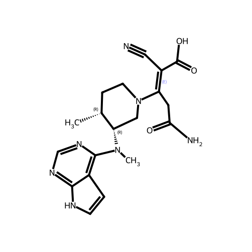 C[C@@H]1CCN(/C(CC(N)=O)=C(\C#N)C(=O)O)C[C@@H]1N(C)c1ncnc2[nH]ccc12